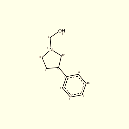 OCN1CCC(c2ccccc2)C1